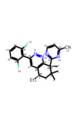 CC[C@@H]1CC(C)(C)[C@@](C)(c2nccc(C#N)n2)c2nnc(-c3c(F)cccc3F)cc21